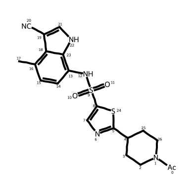 CC(=O)N1CCC(c2ncc(S(=O)(=O)Nc3ccc(C)c4c(C#N)c[nH]c34)s2)CC1